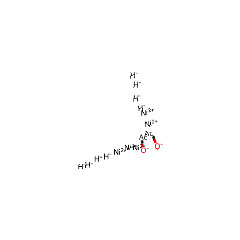 CC(=O)[O-].CC(=O)[O-].[H-].[H-].[H-].[H-].[H-].[H-].[H-].[H-].[Ni+2].[Ni+2].[Ni+2].[Ni+2].[Ni+2]